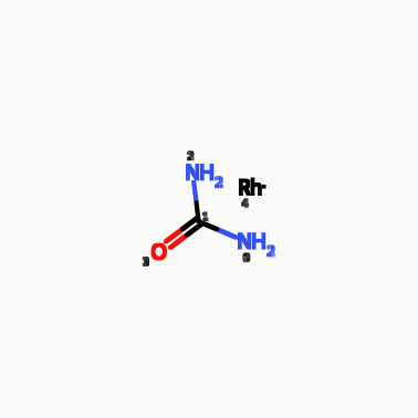 NC(N)=O.[Rh]